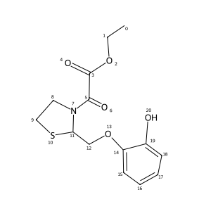 CCOC(=O)C(=O)N1CCSC1COc1ccccc1O